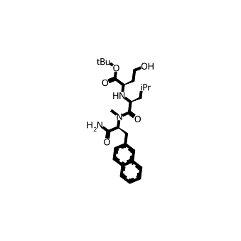 CC(C)C[C@H](N[C@H](CCO)C(=O)OC(C)(C)C)C(=O)N(C)[C@@H](Cc1ccc2ccccc2c1)C(N)=O